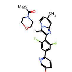 COC(=O)N1CCO[C@@H](Cc2c(-c3c(F)cc(-c4ccc(O)cn4)cc3F)nc3cc(C)ccn23)C1